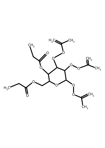 C=C(C)OOC1OC(COC(=O)CC)C(OC(=O)CC)C(OOC(=C)C)C1OOC(=C)C